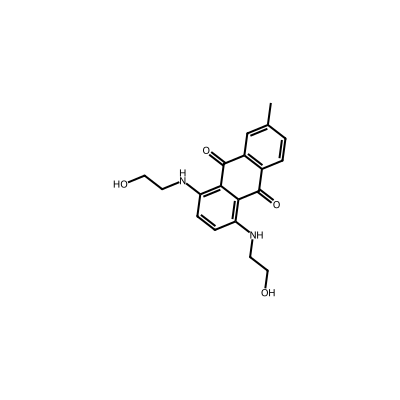 Cc1ccc2c(c1)C(=O)c1c(NCCO)ccc(NCCO)c1C2=O